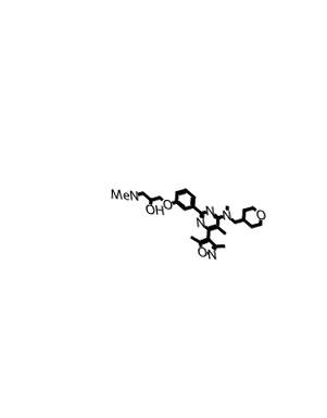 CNCC(O)COc1cccc(-c2nc(-c3c(C)noc3C)c(C)c(N(C)CC3CCOCC3)n2)c1